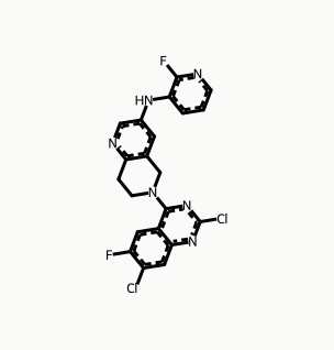 Fc1cc2c(N3CCc4ncc(Nc5cccnc5F)cc4C3)nc(Cl)nc2cc1Cl